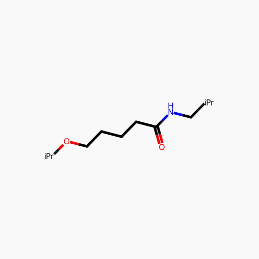 CC(C)CNC(=O)CCCCOC(C)C